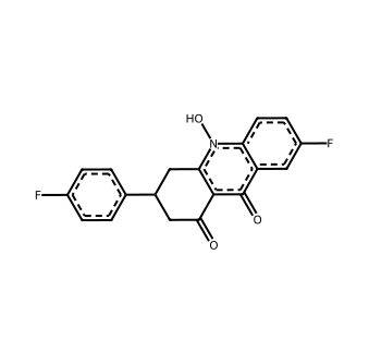 O=C1CC(c2ccc(F)cc2)Cc2c1c(=O)c1cc(F)ccc1n2O